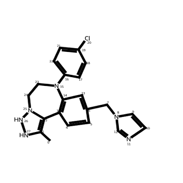 CC1=C2c3ccc(Cn4ccnc4)cc3N(c3ccc(Cl)cc3)CCN2NN1